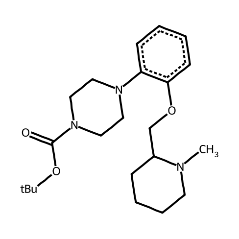 CN1CCCCC1COc1ccccc1N1CCN(C(=O)OC(C)(C)C)CC1